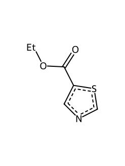 CCOC(=O)c1cncs1